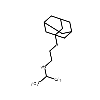 CC(NCCSC12CC3CC(CC(C3)C1)C2)C(=O)O